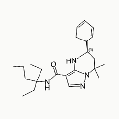 CCCC(CC)(CC)NC(=O)c1cnn2c1N[C@@H](C1C=CC=CC1)CC2(C)C